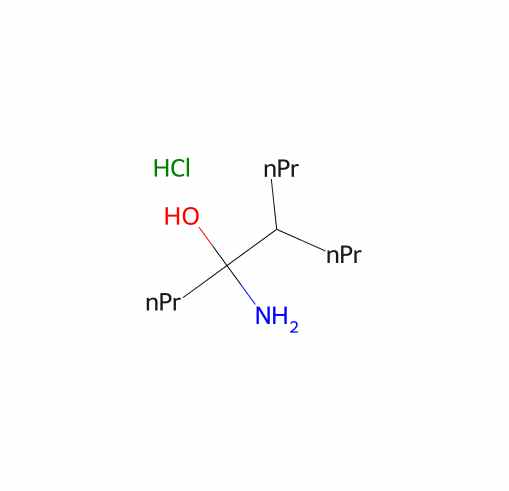 CCCC(CCC)C(N)(O)CCC.Cl